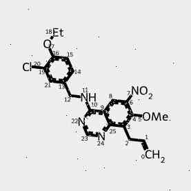 C=CCc1c(OC)c([N+](=O)[O-])cc2c(NCc3ccc(OCC)c(Cl)c3)ncnc12